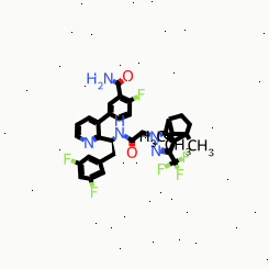 CC12CCC(c3c1c(C(F)(F)F)nn3CC(=O)N[C@@H](Cc1cc(F)cc(F)c1)c1ncccc1-c1ccc(F)c(C(N)=O)c1)C2(C)C